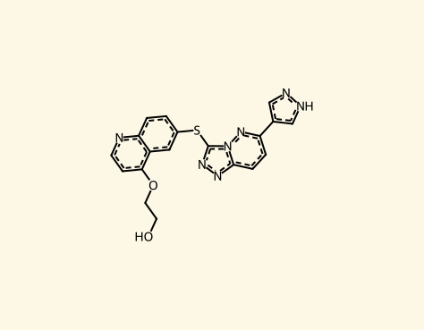 OCCOc1ccnc2ccc(Sc3nnc4ccc(-c5cn[nH]c5)nn34)cc12